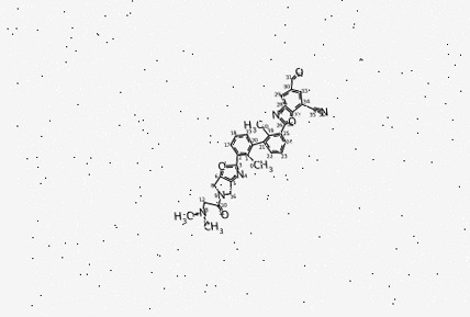 Cc1c(-c2nc3c(o2)CN(C(=O)CN(C)C)C3)cccc1-c1cccc(-c2nc3cc(C=O)cc(C#N)c3o2)c1C